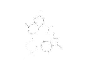 Cc1cc([C@@H](C)N[S@@]2(=O)=NC(=O)c3ccccc32)c2oc(N3CCC(C)(C)CC3)cc(=O)c2c1